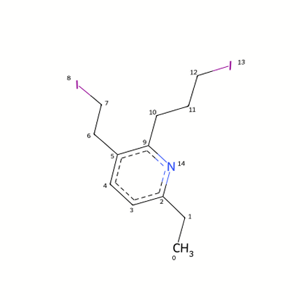 CCc1ccc(CCI)c(CCCI)n1